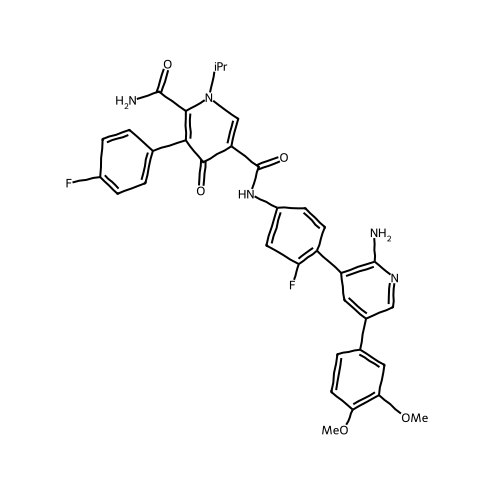 COc1ccc(-c2cnc(N)c(-c3ccc(NC(=O)c4cn(C(C)C)c(C(N)=O)c(-c5ccc(F)cc5)c4=O)cc3F)c2)cc1OC